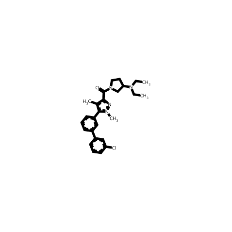 CCN(CC)C1CCN(C(=O)c2nn(C)c(-c3cccc(-c4cccc(Cl)c4)c3)c2C)C1